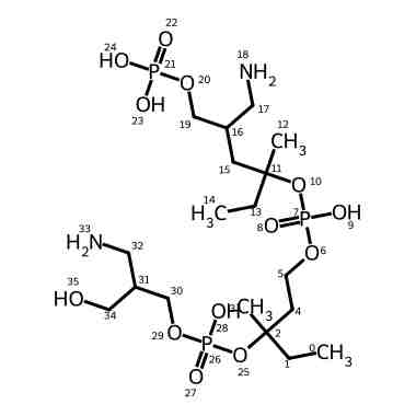 CCC(C)(CCOP(=O)(O)OC(C)(CC)CC(CN)COP(=O)(O)O)OP(=O)(O)OCC(CN)CO